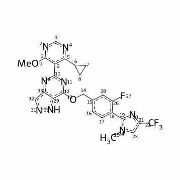 COc1ncnc(C2CC2)c1-c1nc(OCc2ccc(-c3nc(C(F)(F)F)cn3C)c(F)c2)c2[nH]ncc2n1